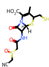 CC1=C(C(=O)O)N2C(=O)C(NC(=O)C[S+]([O-])CC#N)[C@H]2SC1CS